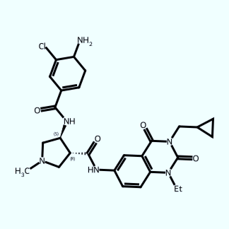 CCn1c(=O)n(CC2CC2)c(=O)c2cc(NC(=O)[C@@H]3CN(C)C[C@H]3NC(=O)C3=CCC(N)C(Cl)=C3)ccc21